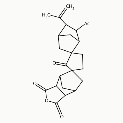 C=C(C)C1C2CC(C1C(C)=O)C1(CCC3(CC4CC3C3C(=O)OC(=O)C43)C1=O)C2